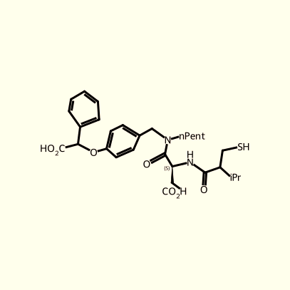 CCCCCN(Cc1ccc(OC(C(=O)O)c2ccccc2)cc1)C(=O)[C@H](CC(=O)O)NC(=O)C(CS)C(C)C